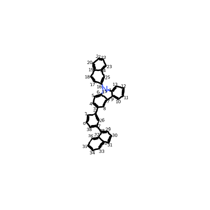 c1cc(-c2ccc3c(c2)c2ccccc2n3-c2ccc3ccccc3c2)cc(-c2cccc3ccccc23)c1